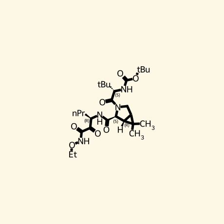 CCC[C@@H](NC(=O)[C@@H]1[C@@H]2C(CN1C(=O)[C@@H](NC(=O)OC(C)(C)C)C(C)(C)C)C2(C)C)C(=O)C(=O)NOCC